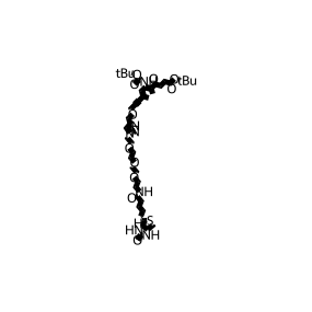 C/C(C(=O)CCC(=O)OC(C)(C)C)=C(\C=C(/C)C#CCOCc1cn(CCOCCOCCOCCNC(=O)CCCC[C@@H]2SCC3NC(=O)N[C@@H]32)nn1)NC(=O)OC(C)(C)C